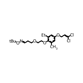 CCc1cc(OCC=C(Cl)Cl)cc(C)c1OCCOCCC=NOC(C)(C)C